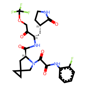 O=C(Nc1ccccc1F)C(=O)N1CC2(CC2)C[C@H]1C(=O)N[C@@H](C[C@@H]1CCNC1=O)C(=O)COC(F)(F)F